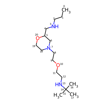 CCCNCC1CN(CCOCCNC(C)(C)C)CCO1